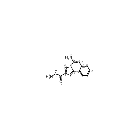 NNC(=O)c1cc2c3ccccc3nc(N)n2n1